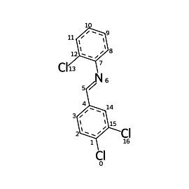 Clc1ccc(C=Nc2ccccc2Cl)cc1Cl